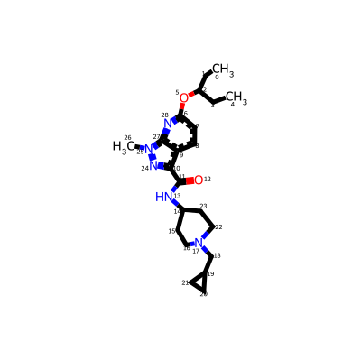 CCC(CC)Oc1ccc2c(C(=O)NC3CCN(CC4CC4)CC3)nn(C)c2n1